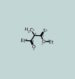 CCOC(=S)C(C)C(=O)CC